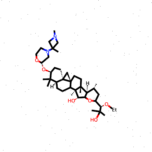 CCO[C@@H](C1C[C@@H](C)[C@H]2C(O1)[C@H](O)[C@@]1(C)C3CC[C@H]4C(C)(C)[C@@H](O[C@H]5CN(C6(C)CN(C)C6)CCO5)CC[C@@]45C[C@@]35CC[C@]21C)C(C)(C)O